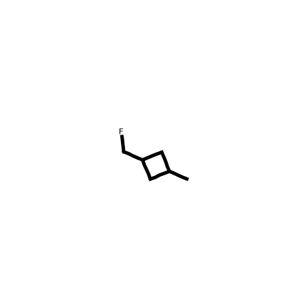 CC1CC(CF)C1